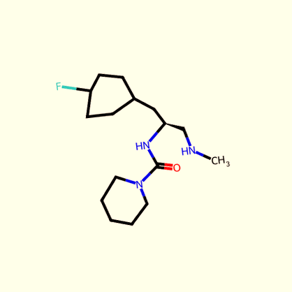 CNC[C@H](CC1CCC(F)CC1)NC(=O)N1CCCCC1